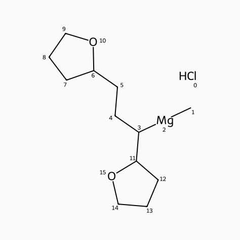 Cl.[CH3][Mg][CH](CCC1CCCO1)C1CCCO1